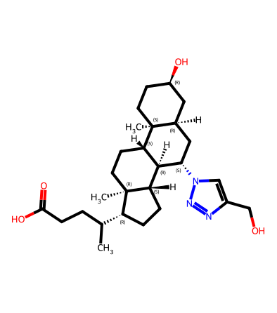 CC(CCC(=O)O)[C@H]1CC[C@H]2[C@@H]3[C@@H](n4cc(CO)nn4)C[C@@H]4C[C@H](O)CC[C@]4(C)[C@H]3CC[C@]12C